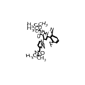 CC1(C)COC(c2ccn(-c3cc(-c4c(F)cccc4C#N)nc4c3C(=O)N(C(=O)OC(C)(C)C)C4)n2)=N1